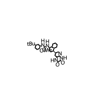 COc1ccc(C(C)(C)C)cc1NC(=O)Nc1ccc(-c2cnc3[nH]c(=O)c(=O)[nH]c3c2)c2ccccc12